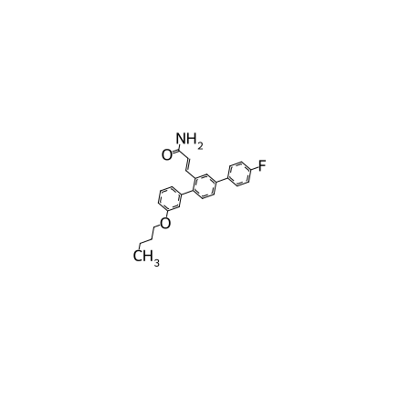 CCCCOc1cccc(-c2ccc(-c3ccc(F)cc3)cc2/C=C/C(N)=O)c1